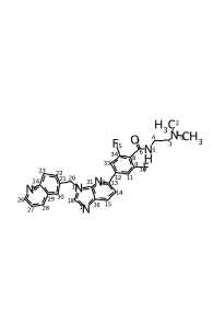 CN(C)CCNC(=O)c1c(F)cc(-c2ccc3ncn(Cc4ccc5ncccc5c4)c3n2)cc1F